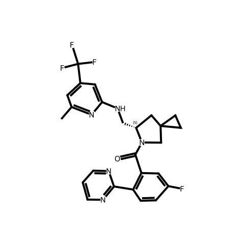 Cc1cc(C(F)(F)F)cc(NC[C@@H]2CC3(CC3)CN2C(=O)c2cc(F)ccc2-c2ncccn2)n1